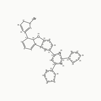 BrC1C=C(C2C=CC=C3c4cc(-c5cc(-c6ccccc6)nc(-c6ccccc6)n5)ccc4OC32)C=CC1